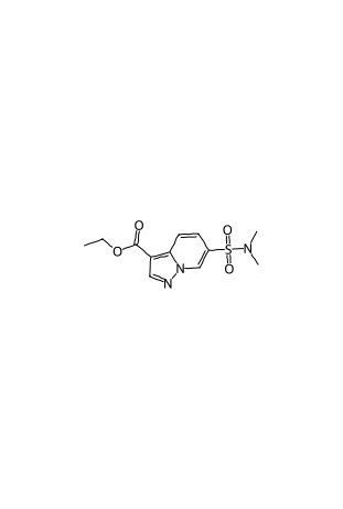 CCOC(=O)c1cnn2cc(S(=O)(=O)N(C)C)ccc12